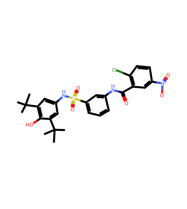 CC(C)(C)c1cc(NS(=O)(=O)c2cccc(NC(=O)c3cc([N+](=O)[O-])ccc3Cl)c2)cc(C(C)(C)C)c1O